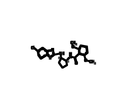 COc1cccc(OC)c1C(=O)N[C@H]1CCC[C@H]1Nc1nc2cc(Cl)ccc2s1